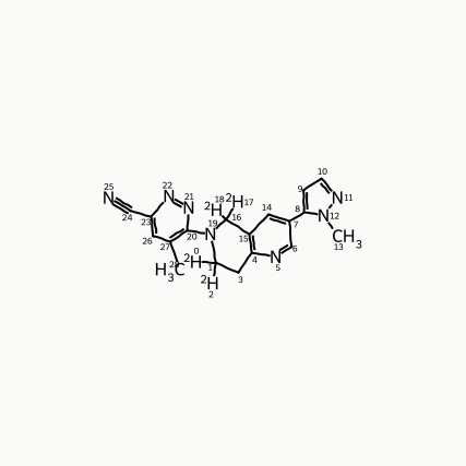 [2H]C1([2H])Cc2ncc(-c3ccnn3C)cc2C([2H])([2H])N1c1nnc(C#N)cc1C